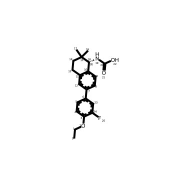 CCOc1ccc(-c2ccc3c(c2)CCC(C)(C)[C@@H]3NC(=O)O)cc1F